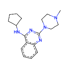 CN1CCN(c2nc(NC3CCCC3)c3ccccc3n2)CC1